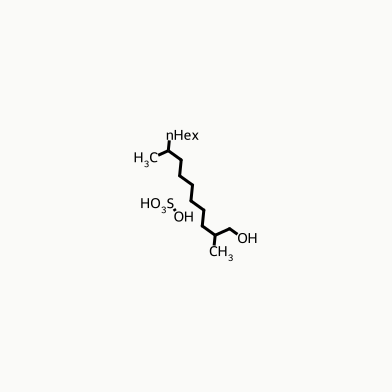 CCCCCCC(C)CCCCCCC(C)CO.O=S(=O)(O)O